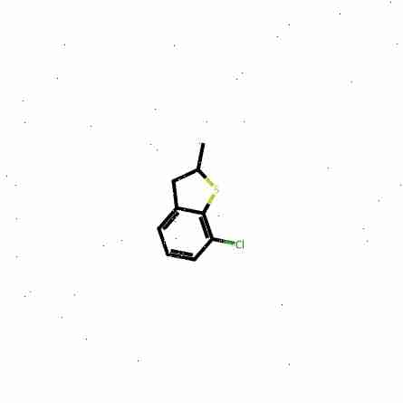 CC1Cc2cccc(Cl)c2S1